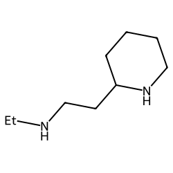 CCNCCC1CCCCN1